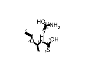 C=COC(C)NC(O)=S.NC(O)=S